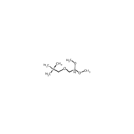 CO[SiH](COC[Si](C)(C)C)OC